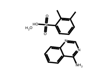 Cc1cccc(S(=O)(=O)O)c1C.Nc1ncnc2ccccc12.O